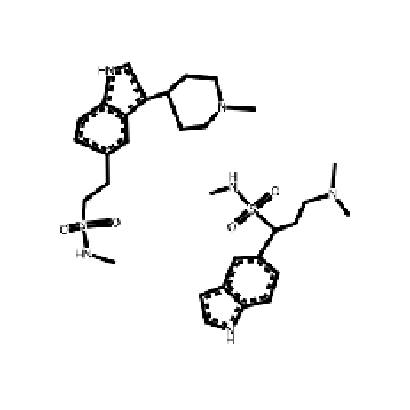 CNS(=O)(=O)C(CCN(C)C)c1ccc2[nH]ccc2c1.CNS(=O)(=O)CCc1ccc2[nH]cc(C3CCN(C)CC3)c2c1